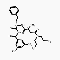 N=C(NC(=O)[C@H](CCc1ccccc1)NC(=O)[C@@H](N)CC(=O)N(CCN)CCN)c1cc(C(F)(F)F)cc(C(F)(F)F)c1